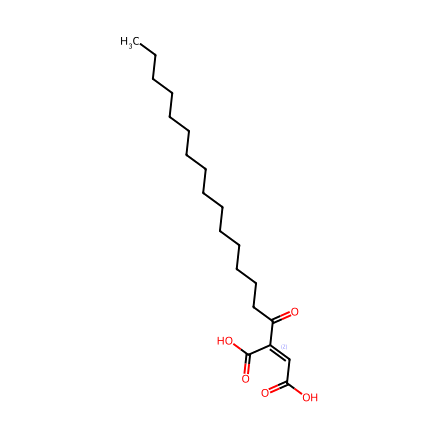 CCCCCCCCCCCCCCCC(=O)/C(=C/C(=O)O)C(=O)O